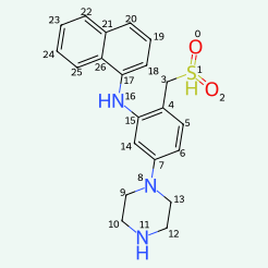 O=[SH](=O)Cc1ccc(N2CCNCC2)cc1Nc1cccc2ccccc12